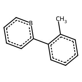 Cc1ccccc1-c1bcccc1